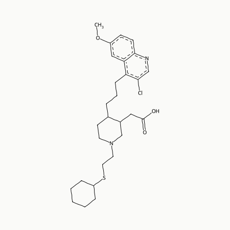 COc1ccc2ncc(Cl)c(CCCC3CCN(CCSC4CCCCC4)CC3CC(=O)O)c2c1